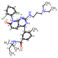 CCN(CC)CCCNc1nc(-c2cc(C(=O)NC(C)(C)CC)ccc2C)c2ccc(=O)n(-c3c(F)cccc3F)c2n1